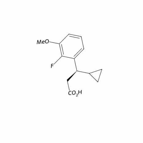 COc1cccc([C@H](CC(=O)O)C2CC2)c1F